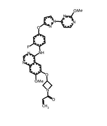 C=CC(=O)N1CC(Oc2cc3c(Nc4ccc(Oc5ccn(-c6ccnc(OC)n6)n5)cc4F)ncnc3cc2OC)C1